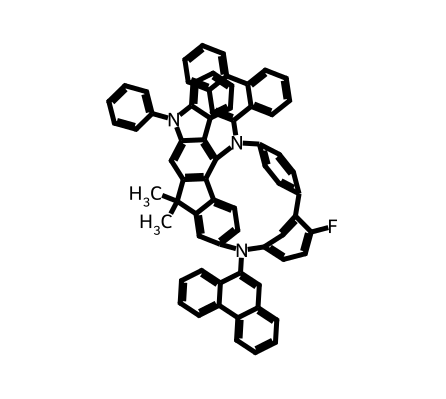 CC1(C)c2cc3ccc2-c2c1cc1c(c2N(c2cc4ccccc4c4ccccc24)c2ccc(cc2)-c2cc(ccc2F)N3c2cc3ccccc3c3ccccc23)c2ccccc2n1-c1ccccc1